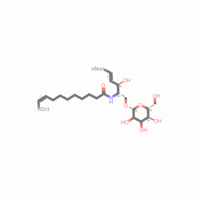 CCCCCCCC/C=C\CCCCCCCC(=O)N[C@@H](CO[C@@H]1O[C@H](CO)[C@@H](O)C(O)C1O)[C@H](O)/C=C/CCCCCCCCC